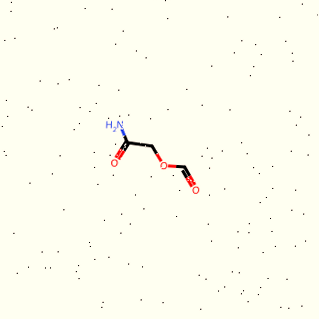 NC(=O)COC=O